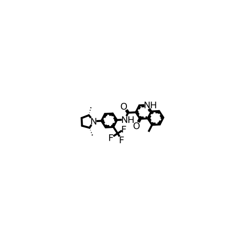 Cc1cccc2[nH]cc(C(=O)Nc3ccc(N4[C@H](C)CC[C@@H]4C)cc3C(F)(F)F)c(=O)c12